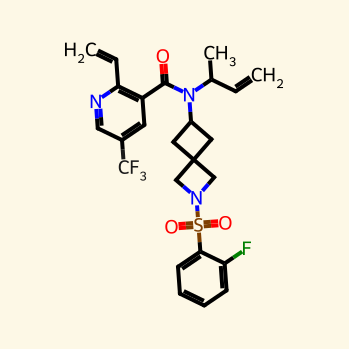 C=Cc1ncc(C(F)(F)F)cc1C(=O)N(C(C)C=C)C1CC2(C1)CN(S(=O)(=O)c1ccccc1F)C2